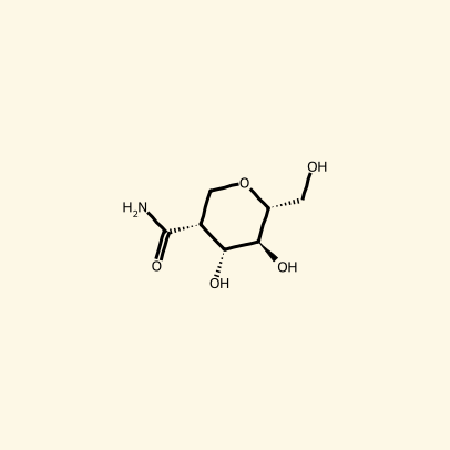 NC(=O)[C@@H]1CO[C@H](CO)[C@@H](O)[C@@H]1O